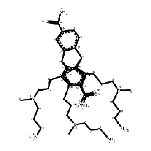 CN(CCCN)CCCc1c(CCCN(C)CCCN)c2c(c(CCCN(C)CCCN)c1C(N)=O)C1c3ccc(C(N)=O)cc3C2c2ccc(C(N)=O)cc21